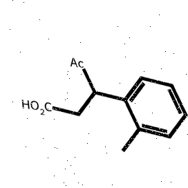 CC(=O)C(CC(=O)O)c1ccccc1C